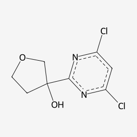 OC1(c2nc(Cl)cc(Cl)n2)CCOC1